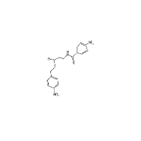 CCN(CCNC(=O)c1ccc([N+](=O)[O-])cc1)CCc1ccc([N+](=O)[O-])cc1